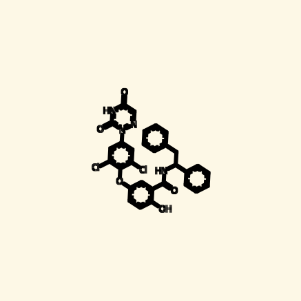 O=C(NC(Cc1ccccc1)c1ccccc1)c1cc(Oc2c(Cl)cc(-n3ncc(=O)[nH]c3=O)cc2Cl)ccc1O